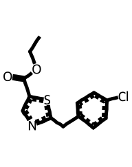 CCOC(=O)c1cnc(Cc2ccc(Cl)cc2)s1